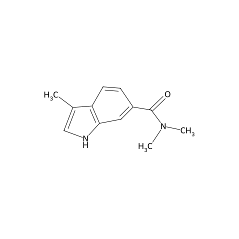 Cc1c[nH]c2cc(C(=O)N(C)C)ccc12